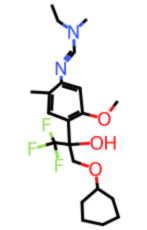 CCN(C)C=Nc1cc(OC)c(C(O)(COC2CCCCC2)C(F)(F)F)cc1C